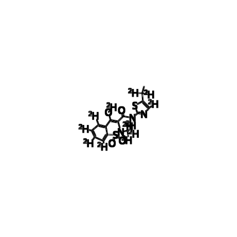 [2H]OC1=C(C(=O)N([2H])c2nc([2H])c(C([2H])([2H])C)s2)N(C([2H])([2H])[2H])S(=O)(=O)c2c([2H])c([2H])c([2H])c([2H])c21